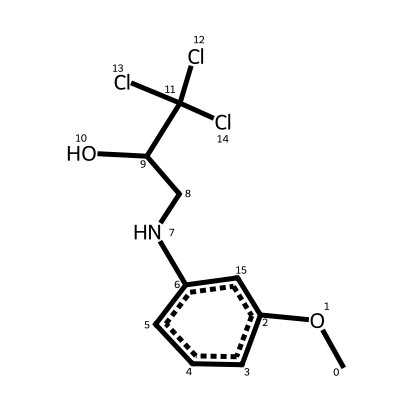 COc1cccc(NCC(O)C(Cl)(Cl)Cl)c1